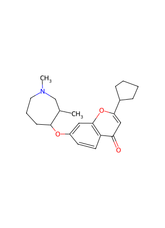 CC1CN(C)CCCC1Oc1ccc2c(=O)cc(C3CCCC3)oc2c1